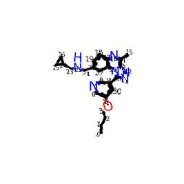 CCCCOc1cncc(-c2nnc3c(C)nc4ccc(CNCC5CC5)cc4n23)c1